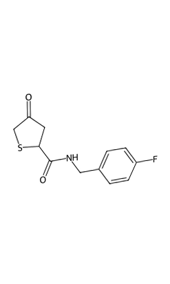 O=C1CSC(C(=O)NCc2ccc(F)cc2)C1